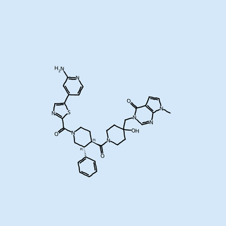 Cn1ccc2c(=O)n(CC3(O)CCN(C(=O)[C@@H]4CCN(C(=O)c5ncc(-c6ccnc(N)c6)s5)C[C@H]4c4ccccc4)CC3)cnc21